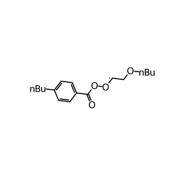 CCCCOC[CH]OOC(=O)c1ccc(CCCC)cc1